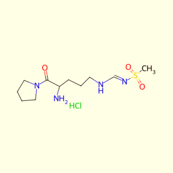 CS(=O)(=O)N=CNCCCC(N)C(=O)N1CCCC1.Cl